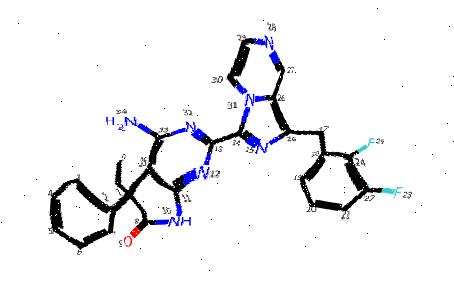 CC1(c2ccccc2)C(=O)Nc2nc(-c3nc(Cc4cccc(F)c4F)c4cnccn34)nc(N)c21